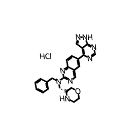 Cl.c1ccc(CN(C[C@@H]2COCCN2)c2ncc3cc(-c4ncnc5[nH]ncc45)ccc3n2)cc1